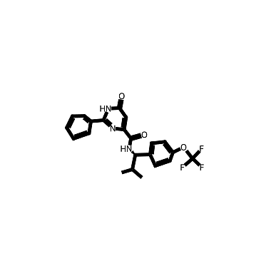 CC(C)[C@@H](NC(=O)c1cc(=O)[nH]c(-c2ccccc2)n1)c1ccc(OC(F)(F)F)cc1